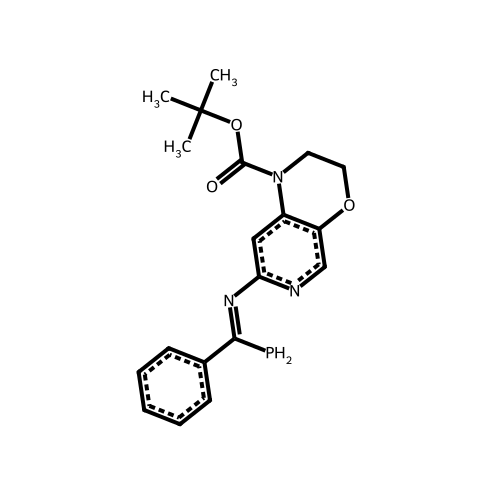 CC(C)(C)OC(=O)N1CCOc2cnc(/N=C(\P)c3ccccc3)cc21